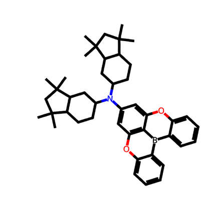 CC1(C)CC(C)(C)C2CC(N(c3cc4c5c(c3)Oc3ccccc3B5c3ccccc3O4)C3CCC4C(C3)C(C)(C)CC4(C)C)CCC21